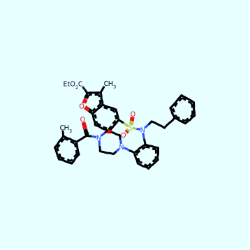 CCOC(=O)c1oc2ccc(S(=O)(=O)N(CCc3ccccc3)c3ccccc3N3CCN(C(=O)c4ccccc4C)CC3)cc2c1C